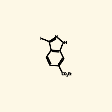 CCOC(=O)c1ccc2c(I)n[nH]c2c1